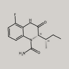 CC[C@H](C)[C@H]1C(=O)Nc2c(F)cccc2N1C(N)=O